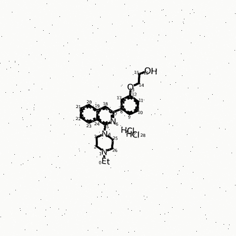 CCN1CCN(c2nc(-c3cccc(OCCO)c3)cc3ccccc23)CC1.Cl.Cl